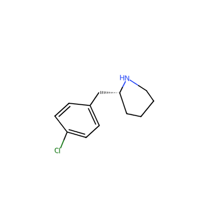 Clc1ccc(C[C@H]2CCCCN2)cc1